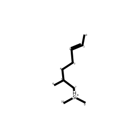 CC=CCCC(C)C[SiH](C)C